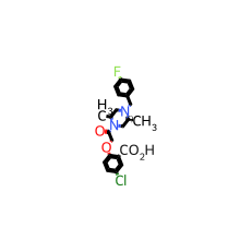 CC1CN(Cc2ccc(F)cc2)[C@@H](C)CN1C(=O)COc1ccc(Cl)cc1C(=O)O